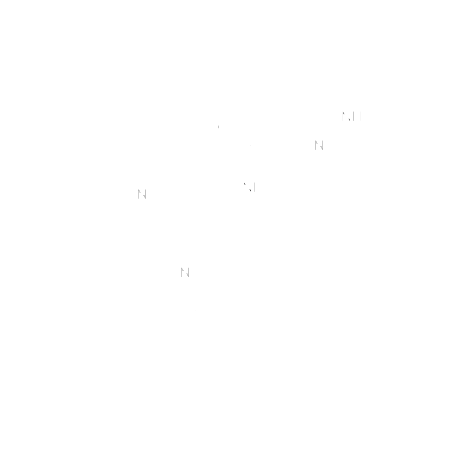 CN1CCN(Cc2cccc(F)c2)CC(NC(=O)c2n[nH]c3ccccc23)C1